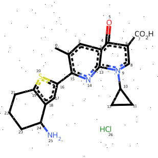 Cc1cc2c(=O)c(C(=O)O)cn(C3CC3)c2nc1-c1cc2c(s1)CCCC2N.Cl